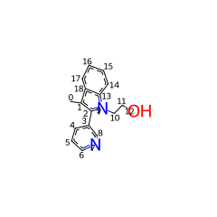 Cc1c(-c2cccnc2)n(CCO)c2ccccc12